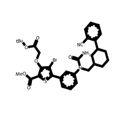 COC(=O)c1sc(-c2cccc(N(CC3CCCC(c4ccccc4C#N)C3)C(N)=O)c2)c(Br)c1OCC(=O)OC(C)(C)C